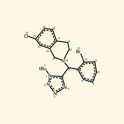 CC(C)(C)n1nnnc1C(c1ccccc1Br)N1CCc2ccc(Cl)cc2C1